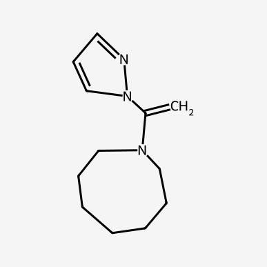 C=C(N1CCCCCCC1)n1cccn1